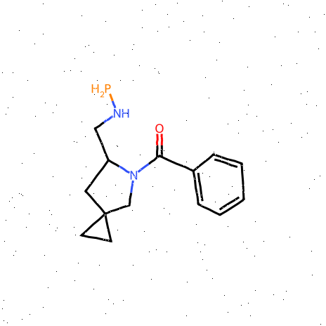 O=C(c1ccccc1)N1CC2(CC2)CC1CNP